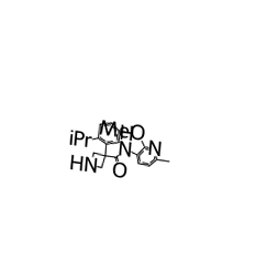 COc1nc(C)ccc1NC(=O)C1(c2ccccc2C(C)C)CNC1